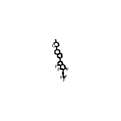 CC1CCC(C2CCc3cc(-c4cc(F)c5c(F)c(C#CC(F)(F)F)c(F)cc5c4)ccc3C2)OC1